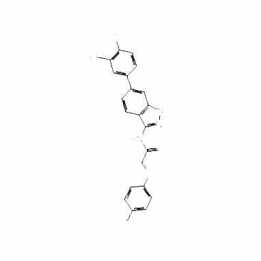 O=C(COc1ccc(Cl)cc1)Nc1n[nH]c2cc(-c3ccc(F)c(Cl)c3)ccc12